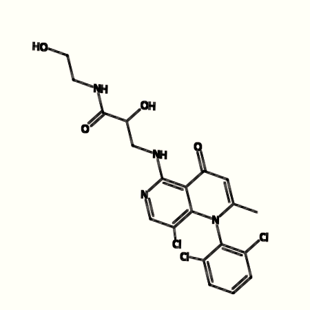 Cc1cc(=O)c2c(NCC(O)C(=O)NCCO)ncc(Cl)c2n1-c1c(Cl)cccc1Cl